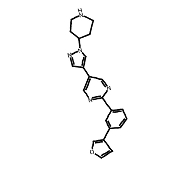 c1cc(-c2ccoc2)cc(-c2ncc(-c3cnn(C4CCNCC4)c3)cn2)c1